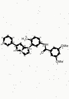 COc1cc(OC)cc(C(=O)Nc2ccc(C)c(-n3ccn4nc(-c5cccnc5)cc34)c2)c1